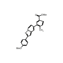 COC(=O)c1ccc(C)c(-c2ccn3nc(-c4ccc(OC)cc4)cc3c2)c1